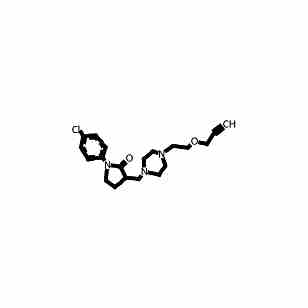 C#CCOCCN1CCN(CC2CCN(c3ccc(Cl)cc3)C2=O)CC1